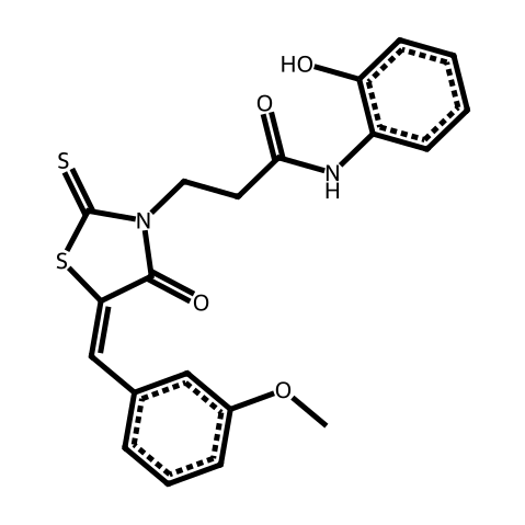 COc1cccc(C=C2SC(=S)N(CCC(=O)Nc3ccccc3O)C2=O)c1